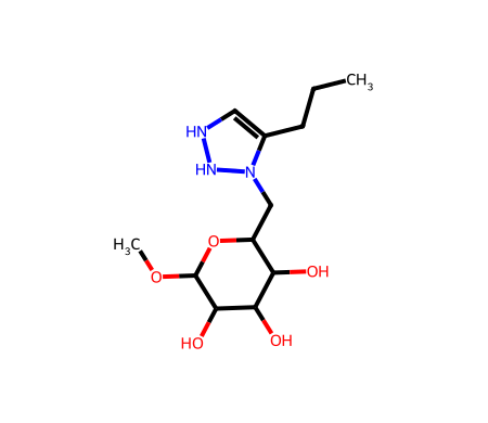 CCCC1=CNNN1CC1OC(OC)C(O)C(O)C1O